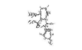 Nc1ccnc(C(=O)Nc2ccc(Cl)cn2)c1C(=O)C(F)(F)F